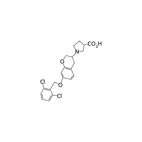 O=C(O)C1CCN(C2COc3cc(OCc4c(Cl)cccc4Cl)ccc3C2)C1